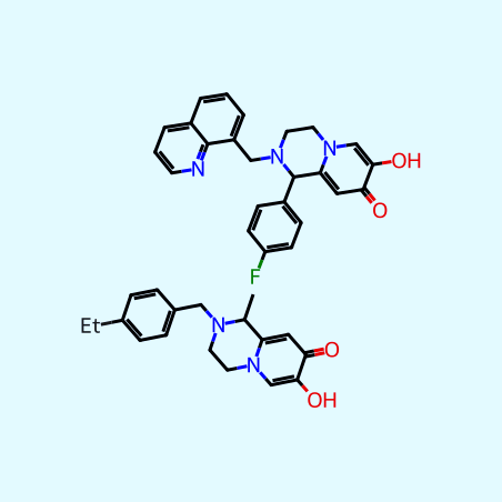 CCc1ccc(CN2CCn3cc(O)c(=O)cc3C2C)cc1.O=c1cc2n(cc1O)CCN(Cc1cccc3cccnc13)C2c1ccc(F)cc1